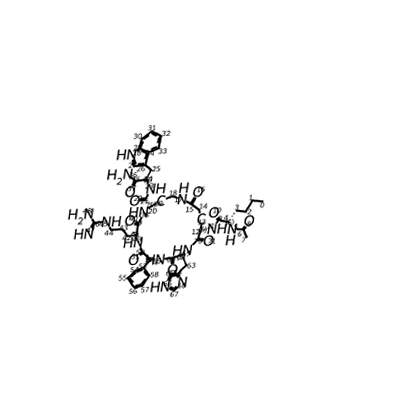 CCCC[C@H](NC(C)=O)C(=O)N[C@H]1CCC(=O)NCC[C@@H](C(=O)N[C@H](Cc2c[nH]c3ccccc23)C(N)=O)NC(=O)[C@H](CCCNC(=N)N)NC(=O)C(c2ccccc2)NC(=O)[C@H](Cc2c[nH]cn2)NC1=O